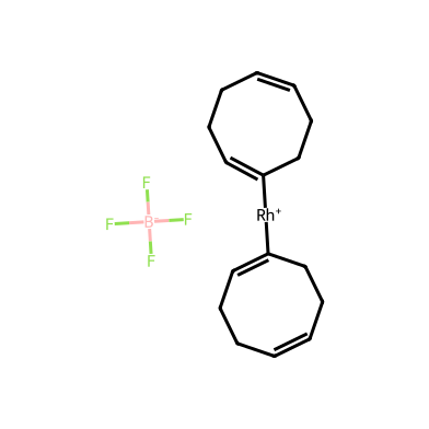 C1=CCC[C]([Rh+][C]2=CCCC=CCC2)=CCC1.F[B-](F)(F)F